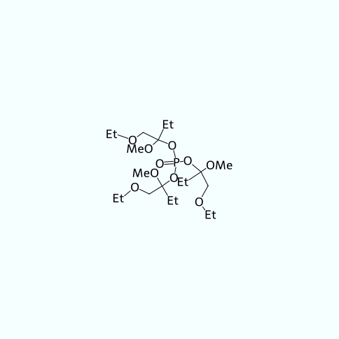 CCOCC(CC)(OC)OP(=O)(OC(CC)(COCC)OC)OC(CC)(COCC)OC